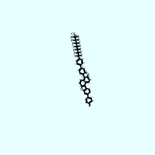 Cc1ccc(-c2ccc3c(c2)oc2ccc4c(ccc5oc6cc(-c7ccc(C(F)(F)C(F)(F)C(F)(F)C(F)(F)C(F)(F)C(F)(F)C(F)(F)C(F)(F)F)cc7)ccc6c54)c23)cc1